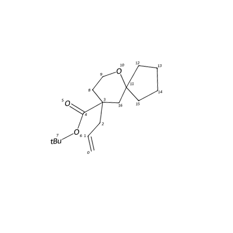 C=CCC1(C(=O)OC(C)(C)C)CCOC2(CCCC2)C1